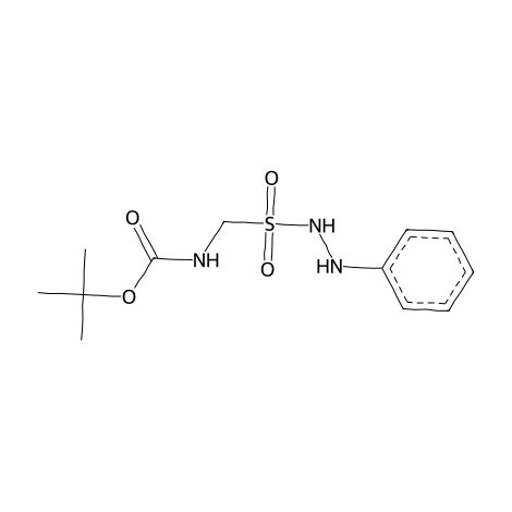 CC(C)(C)OC(=O)NCS(=O)(=O)NNc1ccccc1